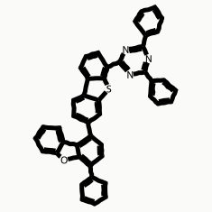 c1ccc(-c2nc(-c3ccccc3)nc(-c3cccc4c3sc3cc(-c5ccc(-c6ccccc6)c6oc7ccccc7c56)ccc34)n2)cc1